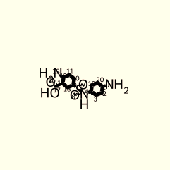 Nc1ccc(NS(=O)(=O)c2ccc(N)c(C(=O)O)c2)cc1